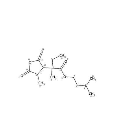 CCC(C)(C(=O)OCCN(C)C)C1C(=O)OC(=O)C1C